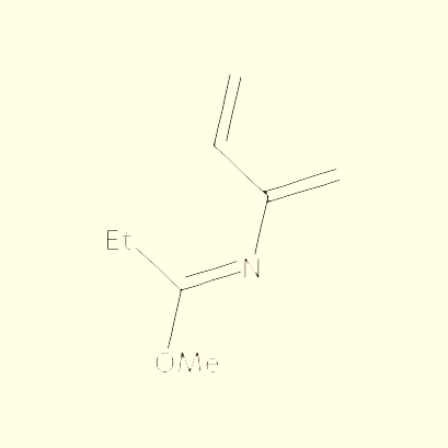 C=CC(=C)/N=C(\CC)OC